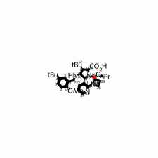 COc1ccc(C(C)(C)C)cc1CN[C@H]1[C@H](C(C)(C)C)[C@@H](C(=O)O)N(C(=O)OC(C)C)[C@H]1c1cccnc1N1CCC1